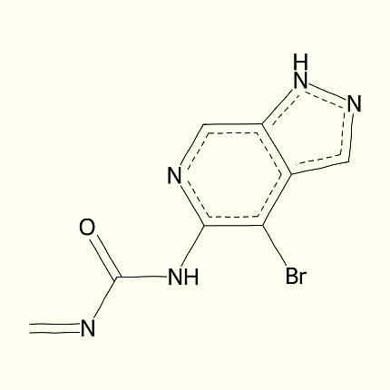 C=NC(=O)Nc1ncc2[nH]ncc2c1Br